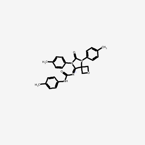 Cc1ccc(NC(=O)/N=C2\N(c3ccc(C)cc3)C(=O)N(c3ccc(C)cc3)C23COC3)cc1